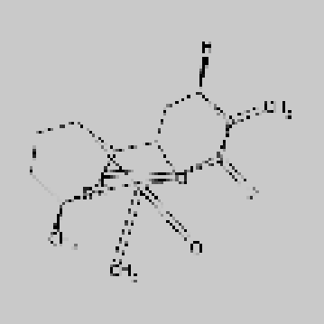 C=C1C(=O)[C@@]23CC[C@@H](CC2C24CCC[C@@](C)(COC2=O)C14)C(=C)C3=O